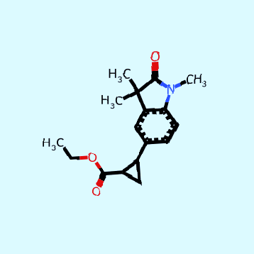 CCOC(=O)C1CC1c1ccc2c(c1)C(C)(C)C(=O)N2C